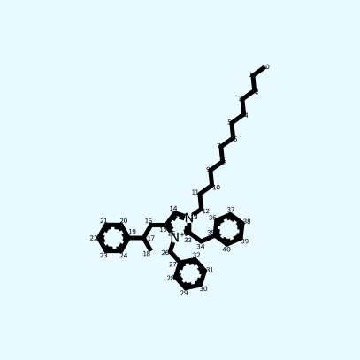 CCCCCCCCCCCCCn1cc(CC(C)c2ccccc2)[n+](Cc2ccccc2)c1Cc1ccccc1